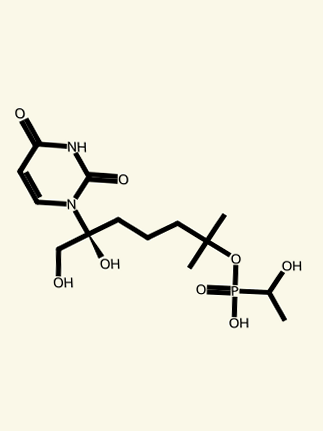 CC(O)P(=O)(O)OC(C)(C)CCC[C@](O)(CO)n1ccc(=O)[nH]c1=O